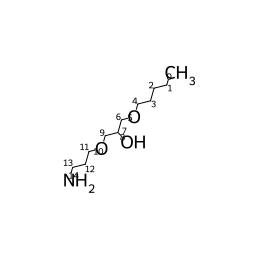 CCCCCOCC(O)COCCCN